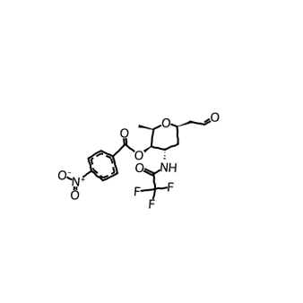 C[C@H]1O[C@@H](CC=O)C[C@H](NC(=O)C(F)(F)F)[C@H]1OC(=O)c1ccc([N+](=O)[O-])cc1